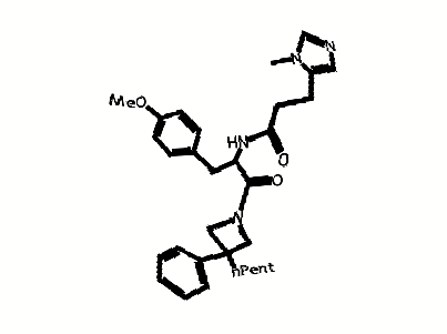 CCCCCC1(c2ccccc2)CN(C(=O)C(Cc2ccc(OC)cc2)NC(=O)CCc2cncn2C)C1